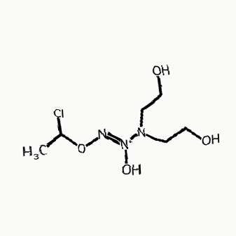 CC(Cl)O/N=[N+](\O)N(CCO)CCO